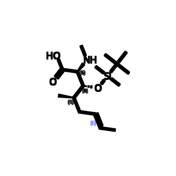 C/C=C/C[C@@H](C)[C@@H](O[Si](C)(C)C(C)(C)C)[C@H](NC)C(=O)O